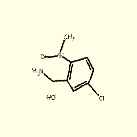 C[S+]([O-])c1ccc(Cl)cc1CN.Cl